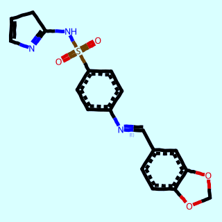 O=S(=O)(NC1=NC=CC1)c1ccc(/N=C/c2ccc3c(c2)OCO3)cc1